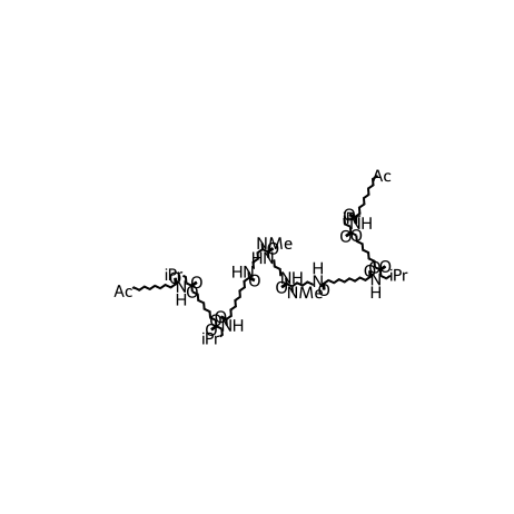 CNC(CCCCNC(=O)CCCCCCCCC(=O)NC(CC(C)C)C(=O)OCCCCCCOC(=O)C(CC(C)C)NC(=O)CCCCCCCCC(C)=O)C(=O)NCCCCNC(=O)C(CCCCNC(=O)CCCCCCCCC(=O)NC(CC(C)C)C(=O)OCCCCCCOC(=O)C(CC(C)C)NC(=O)CCCCCCCCC(C)=O)NC